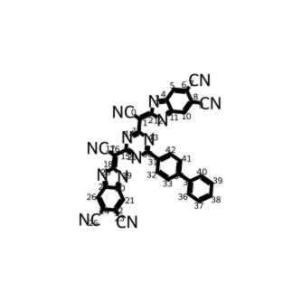 N#CC(=C1N=c2cc(C#N)c(C#N)cc2=N1)c1nc(C(C#N)=C2N=c3cc(C#N)c(C#N)cc3=N2)nc(-c2ccc(-c3ccccc3)cc2)n1